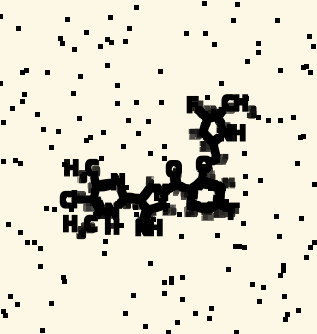 CC1=N/C(=C2\CN(C(=O)c3ccc(F)cc3OCC3CC(F)C(C)N3)CC2=N)NC(C)=C1Cl